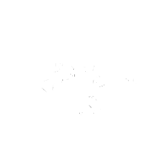 CCCC[C@H](NC(=O)CN)C(=O)N[C@@H](CCCCN)C(=O)N[C@@H](CC(C)C)C(=O)N[C@@H](Cc1ccc(O)cc1)C(N)=O